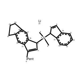 CCCC(C)C1=CC([Si](C)(C)C2C=Cc3ccccc32)c2cc3c(cc21)CCC3.[Li]